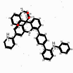 C1=CCNC(c2ccc3c(c2)Sc2c(-c4ccc(-c5ccccc5Nc5ccccc5)cc4)cccc2C32c3ccccc3Sc3ccccc32)=C1